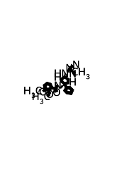 CN/C(=N\C#N)N[C@H]1CC[C@](CNC(=O)c2cccc(OC)c2OC)(c2ccccc2)CC1